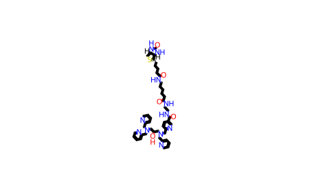 O=C(CCCC[C@@H]1SC[C@@H]2NC(=O)N[C@@H]21)NCCCCCC(=O)NCCNC(=O)c1ccc(CN(Cc2ccccn2)CC(O)CN(Cc2ccccn2)Cc2ccccn2)nc1